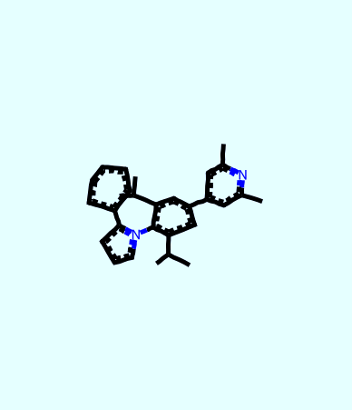 Cc1cc(-c2cc(C(C)C)c(-n3cccc3-c3ccccc3)c(C(C)C)c2)cc(C)n1